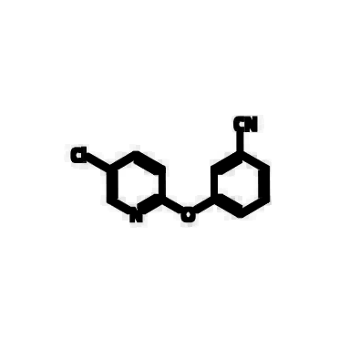 N#Cc1cccc(Oc2ccc(Cl)cn2)c1